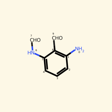 Nc1cccc(NC=O)c1C=O